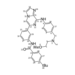 COCCN(C)Cc1ccc(Nc2nc(-c3cccc(NC(=O)c4ccc(C(C)(C)C)cc4)c3)cn3ccnc23)cc1